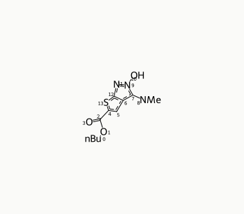 CCCCOC(=O)c1cc2c(NC)n(O)nc2s1